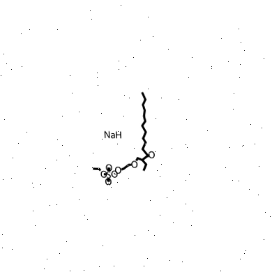 CCCCCCCCCCCC(=O)C(CC)COCCOOS(=O)(=O)OCC.[NaH]